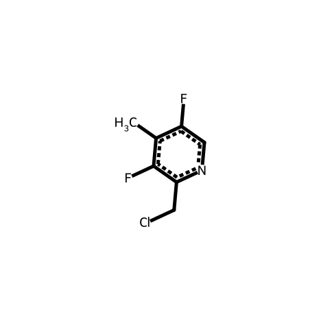 Cc1c(F)cnc(CCl)c1F